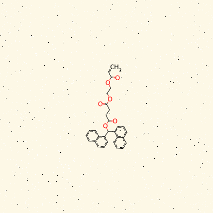 C=CC(=O)OCCOC(=O)CCC(=O)OC(c1cccc2ccccc12)c1cccc2ccccc12